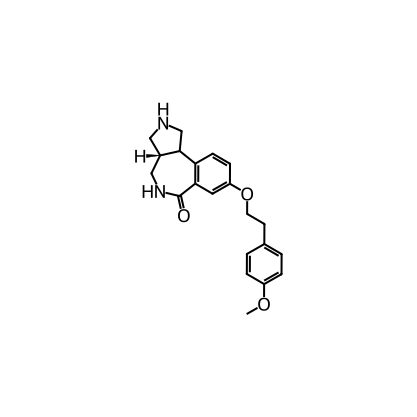 COc1ccc(CCOc2ccc3c(c2)C(=O)NC[C@@H]2CNCC32)cc1